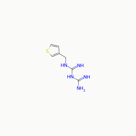 N=C(N)NC(=N)NCc1ccsc1